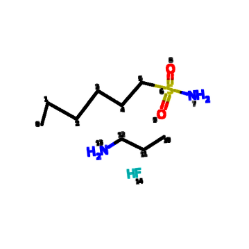 CCCCCCS(N)(=O)=O.CCCN.F